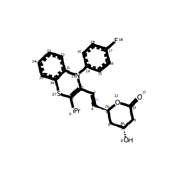 CC(C)C1=C(/C=C/[C@@H]2C[C@@H](O)CC(=O)O2)N(c2ccc(F)cc2)c2ccccc2S1